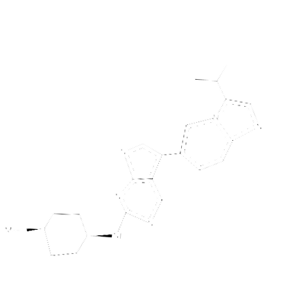 CO[C@H]1CC[C@@H](Nc2ncc3c(-c4ccc5ncc(C(F)F)n5c4)c[nH]c3n2)CC1